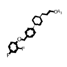 CCCC[C@H]1CC[C@H](c2ccc(COc3ccc(F)cc3F)cc2)CC1